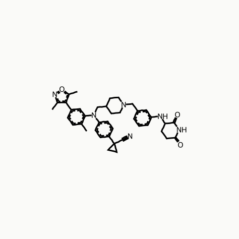 Cc1ccc(-c2c(C)noc2C)cc1N(CC1CCN(Cc2cccc(NC3CCC(=O)NC3=O)c2)CC1)c1ccc(C2(C#N)CC2)cc1